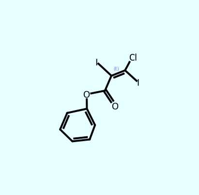 O=C(Oc1ccccc1)/C(I)=C(/Cl)I